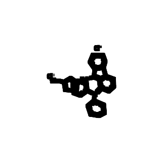 CC(C)(C)C1=CC[C]([Zr+2][C]2=c3c(cccc3=[Si](c3ccccc3)c3ccccc3)-c3ccccc32)=C1.[Cl-].[Cl-]